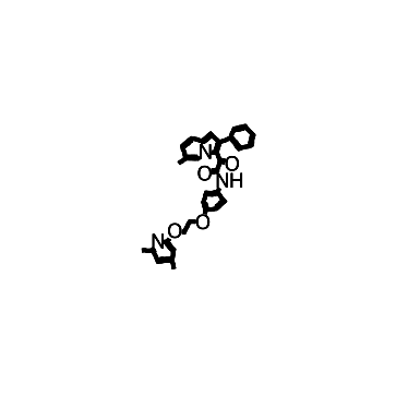 Cc1cc(C)nc(OCCOc2ccc(NC(=O)C(=O)c3c(-c4ccccc4)cc4ccc(C)cn34)cc2)c1